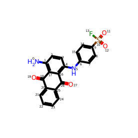 Nc1ccc(Nc2ccc(S(=O)(=O)F)cc2)c2c1C(=O)c1ccccc1C2=O